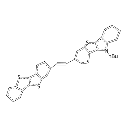 CCCCn1c2ccccc2c2sc3cc(C#Cc4ccc5c(c4)sc4c6ccccc6sc54)ccc3c21